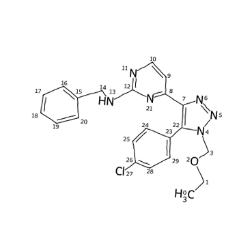 CCOCn1nnc(-c2ccnc(NCc3ccccc3)n2)c1-c1ccc(Cl)cc1